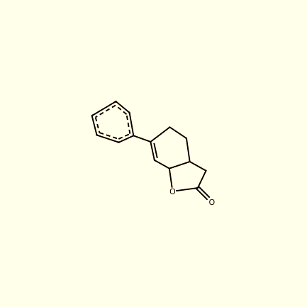 O=C1CC2CCC(c3ccccc3)=CC2O1